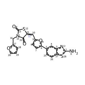 Nc1nc2cc(-c3ccc(/C=C4/SC(=O)N(Cc5ccco5)C4=O)o3)ccc2s1